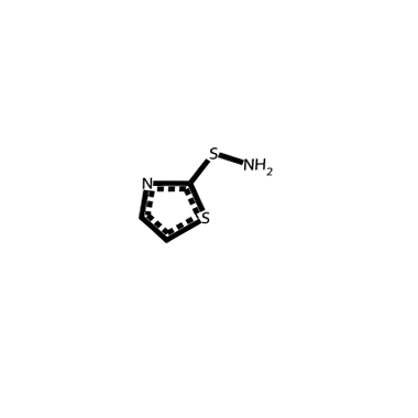 NSc1nccs1